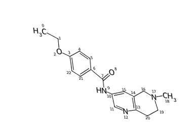 CCOc1ccc(C(=O)Nc2cnc3c(c2)CN(C)CC3)cc1